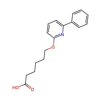 O=C(O)CCCCCOc1cccc(-c2ccccc2)n1